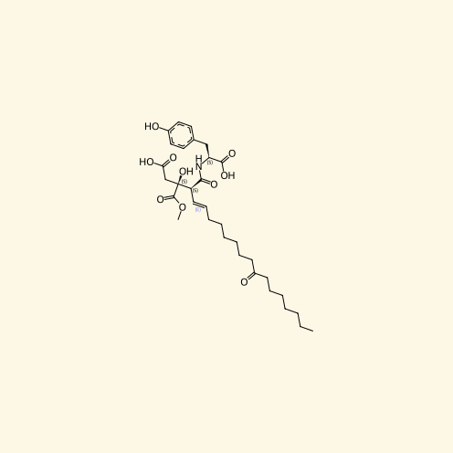 CCCCCCCC(=O)CCCCCC/C=C/[C@H](C(=O)N[C@@H](Cc1ccc(O)cc1)C(=O)O)[C@@](O)(CC(=O)O)C(=O)OC